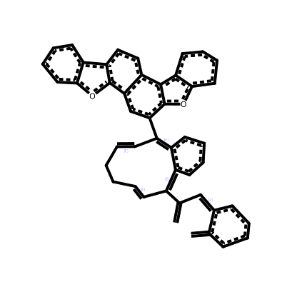 C=C(/C=c1/ccccc1=C)C1=c2\cccc\c2=C(c2cc3c(ccc4c5ccccc5oc43)c3c2oc2ccccc23)\C=C\CC\C=C\1